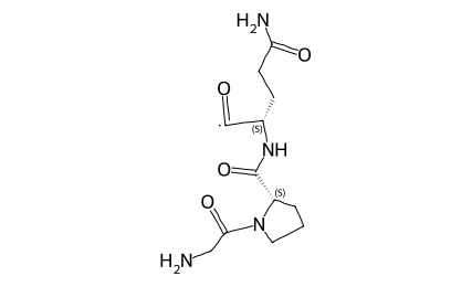 NCC(=O)N1CCC[C@H]1C(=O)N[C@H]([C]=O)CCC(N)=O